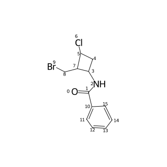 O=C(NC1CC(Cl)C1CBr)c1ccccc1